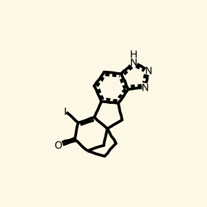 O=C1C(I)=C2c3ccc4[nH]nnc4c3CC23CCC1C3